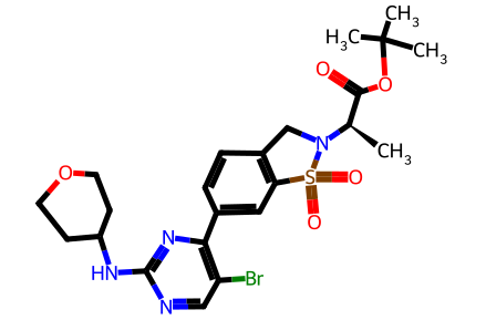 C[C@H](C(=O)OC(C)(C)C)N1Cc2ccc(-c3nc(NC4CCOCC4)ncc3Br)cc2S1(=O)=O